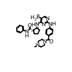 Bc1cnc(Nc2ccc(C(=O)N3CCN(C)CC3)cc2)nc1N[C@@H]1CCC[C@@H]1C(=O)Nc1ccccc1